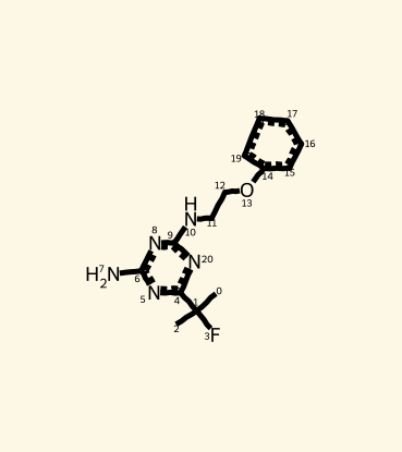 CC(C)(F)c1nc(N)nc(NCCOc2ccccc2)n1